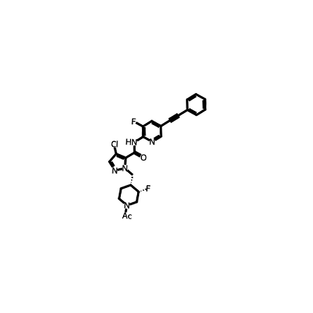 CC(=O)N1CC[C@H](Cn2ncc(Cl)c2C(=O)Nc2ncc(C#Cc3ccccc3)cc2F)[C@H](F)C1